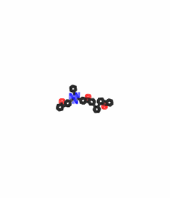 c1ccc(-c2nc(-c3ccc4c(c3)oc3ccccc34)nc(-c3ccc4c(c3)oc3ccc(-c5ccccc5-c5cccc6c5oc5ccccc56)cc34)n2)cc1